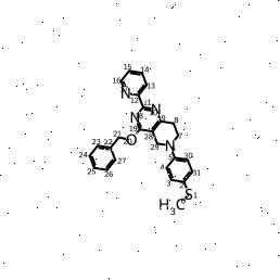 CSc1ccc(N2CCc3nc(-c4ccccn4)nc(OCc4ccccc4)c3C2)cc1